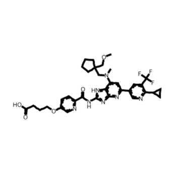 COCC1(CN(C)c2cc(-c3cnc(C4CC4)c(C(F)(F)F)c3)nc3nc(NC(=O)c4ccc(OCCCC(=O)O)cn4)[nH]c23)CCCC1